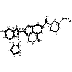 N[C@@H]1CCCN(C(=O)c2cc3c4c(c2)nc(-c2cc5ccccc5n2Cc2ccccn2)n4CCN3)C1